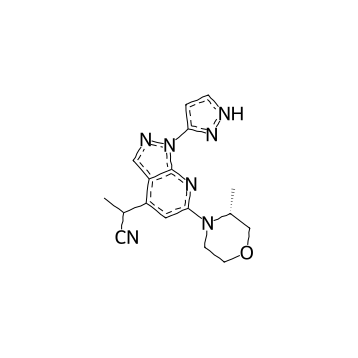 CC(C#N)c1cc(N2CCOC[C@H]2C)nc2c1cnn2-c1cc[nH]n1